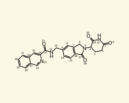 O=C1CCC(N2Cc3cc(CNC(=O)c4cc5ccccc5cn4)ccc3C2=O)C(=O)N1